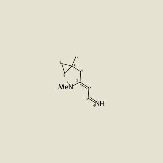 CN/C(=C\C=N)CC1(C)CC1